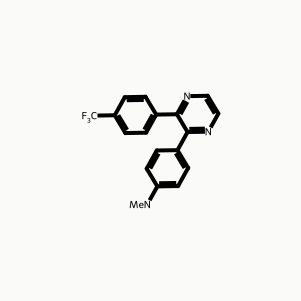 CNc1ccc(-c2nccnc2-c2ccc(C(F)(F)F)cc2)cc1